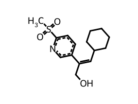 CS(=O)(=O)c1ccc(/C(=C\C2CCCCC2)CO)cn1